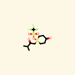 CC(C)C(=O)CS1(OS(=O)(=O)C(F)(F)F)CCC(=O)CC1